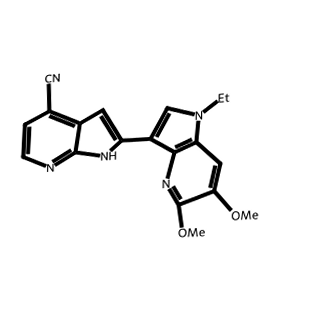 CCn1cc(-c2cc3c(C#N)ccnc3[nH]2)c2nc(OC)c(OC)cc21